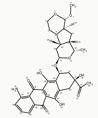 CO[C@H]1OCCN2[C@@H]1C[C@@H]1[C@H](C)O[C@@H](O[C@H]3C[C@](O)(C(C)=O)Cc4c(O)c5c(c(O)c43)C(=O)c3c(N)cccc3C5=O)C[C@@H]12